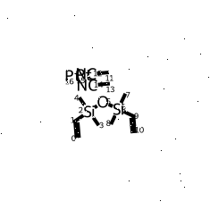 C=C[Si](C)(C)O[Si](C)(C)C=C.CC#N.CC#N.[Pt].[Pt]